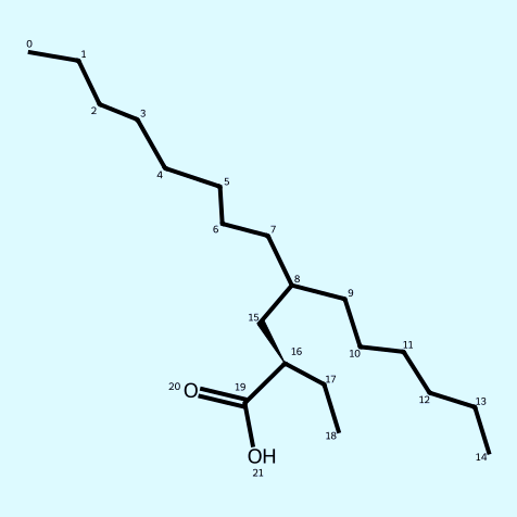 CCCCCCCCC(CCCCCC)C[C@@H](CC)C(=O)O